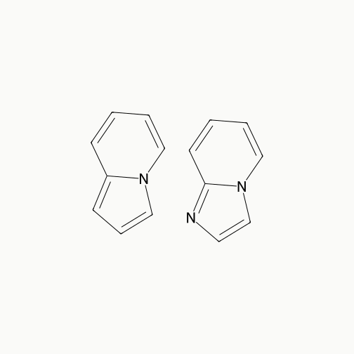 c1ccn2cccc2c1.c1ccn2ccnc2c1